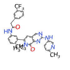 Cc1ccc(Nc2ncc3cc(-c4cc(NC(=O)Cc5cccc(C(F)(F)F)c5)ccc4C)n(C)c(=O)c3n2)cn1